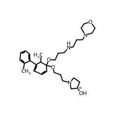 Cc1ccccc1C1=CC=CC(OCCCNCCCN2CCOCC2)(OCCCN2CC[C@@H](O)C2)C1C